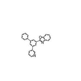 c1ccc(-c2cc(-c3cccnc3)cc(-c3nc4ccccc4o3)c2)cc1